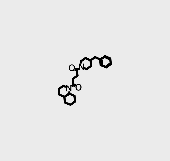 O=C(CCC(=O)N1CCCC2CCCCC21)N1CCC(Cc2ccccc2)CC1